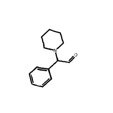 O=CC(c1ccccc1)N1CCCCC1